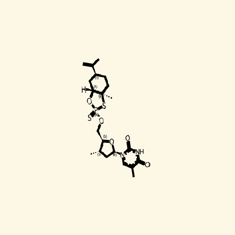 C=C(C)[C@H]1CC[C@@]2(C)S[P@](=S)(OC[C@H]3O[C@@H](n4cc(C)c(=O)[nH]c4=O)C[C@@H]3C)O[C@@H]2C1